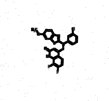 COc1ccc2nc(N(Cc3cc(=O)[nH]c4c(F)c(F)ccc34)c3cccc(Cl)c3)sc2c1